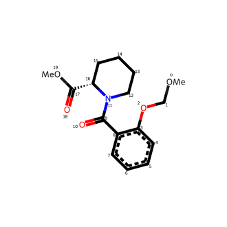 COCOc1ccccc1C(=O)N1CCCC[C@H]1C(=O)OC